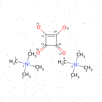 C[N+](C)(C)C.C[N+](C)(C)C.O=c1c([O-])c([O-])c1=O